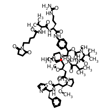 CC[C@H](C)[C@@H]([C@@H](CC(=O)N1CCC[C@H]1[C@H](OC)[C@@H](C)C(=O)N[C@@H](Cc1ccccc1)c1nccs1)OC)N(C)C(=O)[C@@H](NC(=O)[C@H](C(C)C)N(C)C(=O)OC(C(=O)N1CCN(C)CC1)c1ccc(NC(=O)[C@H](CCCNC(N)=O)NC(=O)[C@@H](NC(=O)CCCCN2C(=O)CCC2=O)C(C)C)cc1)C(C)C